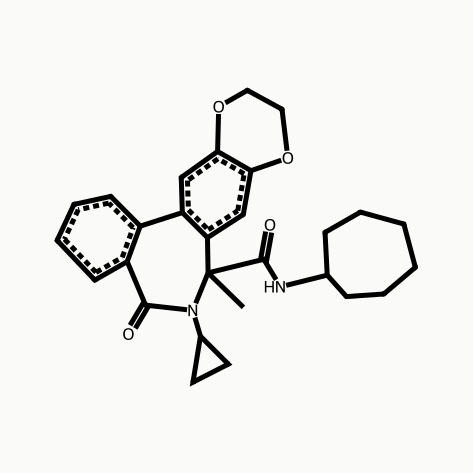 CC1(C(=O)NC2CCCCCC2)c2cc3c(cc2-c2ccccc2C(=O)N1C1CC1)OCCO3